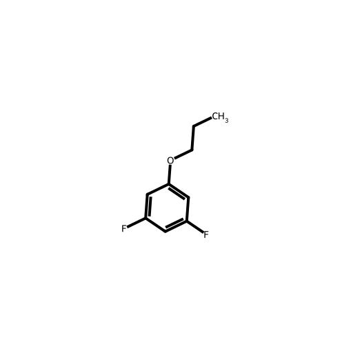 CCCOc1cc(F)cc(F)c1